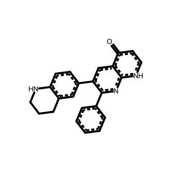 O=c1cc[nH]c2nc(-c3ccccc3)c(-c3ccc4c(c3)CCCN4)cc12